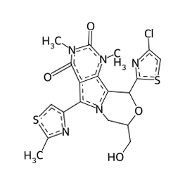 Cc1nc(-c2c3c(=O)n(C)c(=O)n(C)c3c3n2CC(CO)OC3c2nc(Cl)cs2)cs1